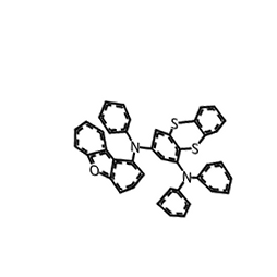 c1ccc(N(c2ccccc2)c2cc(N(c3ccccc3)c3cccc4oc5ccccc5c34)cc3c2Sc2ccccc2S3)cc1